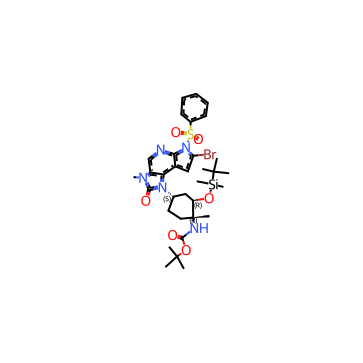 Cn1c(=O)n([C@H]2CC[C@@](C)(NC(=O)OC(C)(C)C)[C@H](O[Si](C)(C)C(C)(C)C)C2)c2c3cc(Br)n(S(=O)(=O)c4ccccc4)c3ncc21